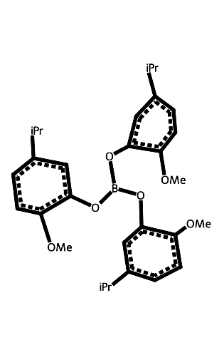 COc1ccc(C(C)C)cc1OB(Oc1cc(C(C)C)ccc1OC)Oc1cc(C(C)C)ccc1OC